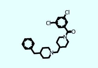 O=C(c1cc(Cl)cc(Cl)c1)N1CCC(CN2CCC(Cc3ccccc3)CC2)CC1